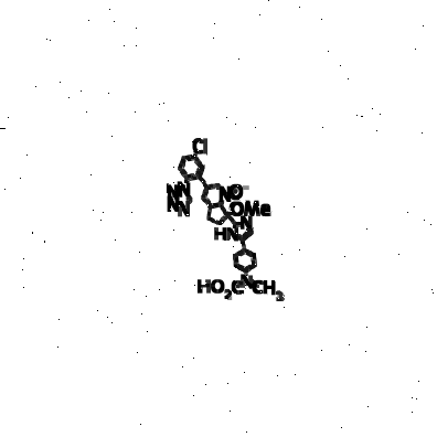 COC1(c2ncc(-c3ccc(N(C)C(=O)O)cc3)[nH]2)CCc2cc(-c3cc(Cl)ccc3-n3cnnn3)c[n+]([O-])c21